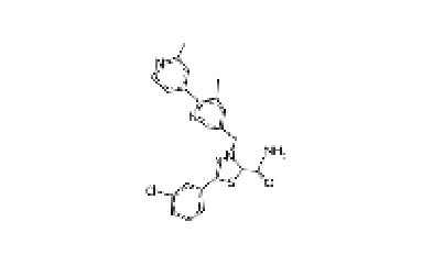 Cc1cc(-c2ncc(CN3N=C(c4cccc(Cl)c4)SC3C(N)=O)cc2C)ccn1